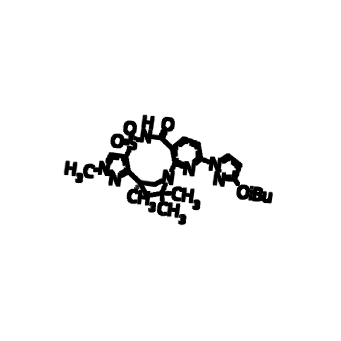 CC(C)COc1ccn(-c2ccc3c(n2)N2C[C@@](C)(CC2(C)C)c2nn(C)cc2S(=O)(=O)NC3=O)n1